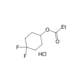 CCC(=O)OC1CCC(F)(F)CC1.Cl